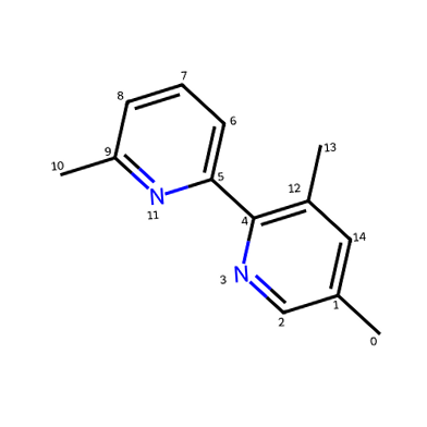 Cc1cnc(-c2cccc(C)n2)c(C)c1